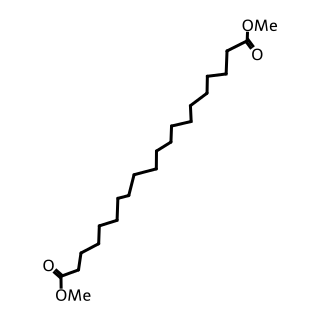 COC(=O)CCCCCCCCCCCCCCCCCCC(=O)OC